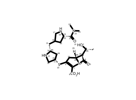 C[C@@H](O)[C@H]1C(=O)N2C(C(=O)O)=C(S[C@@H]3CN[C@H](CC4CN[C@H](C(=O)N(C)C)C4)C3)C[C@H]12